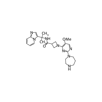 COc1cnc(N2CCCNCC2)nc1N1CC(C(=O)NC(C)(C)c2cnc3ccccn23)C1